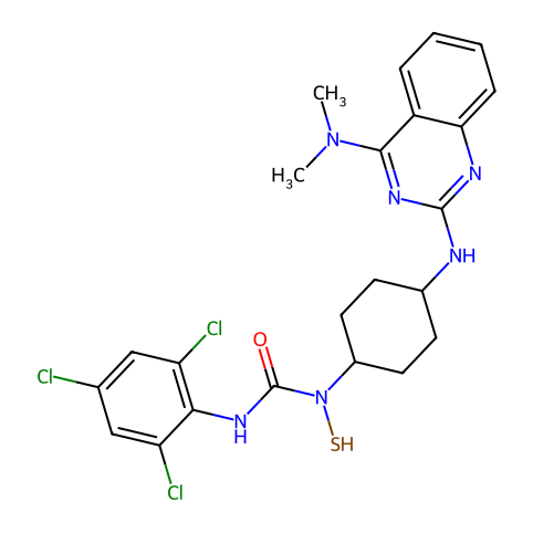 CN(C)c1nc(NC2CCC(N(S)C(=O)Nc3c(Cl)cc(Cl)cc3Cl)CC2)nc2ccccc12